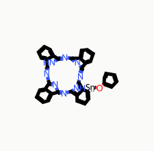 c1ccc([O][Sn][c]2cccc3c4nc5nc(nc6[nH]c(nc7nc(nc([nH]4)c23)-c2ccccc2-7)c2ccccc62)-c2ccccc2-5)cc1